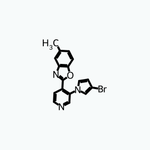 Cc1ccc2oc(-c3ccncc3-n3ccc(Br)c3)nc2c1